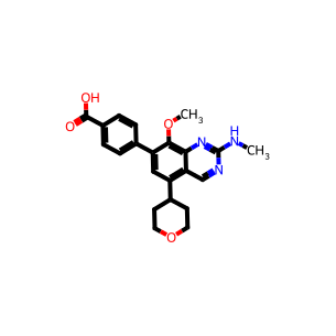 CNc1ncc2c(C3CCOCC3)cc(-c3ccc(C(=O)O)cc3)c(OC)c2n1